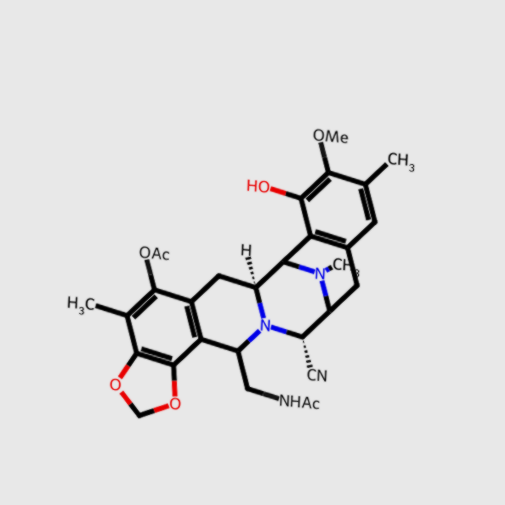 COc1c(C)cc2c(c1O)C1[C@@H]3Cc4c(OC(C)=O)c(C)c5c(c4C(CNC(C)=O)N3[C@@H](C#N)C(C2)N1C)OCO5